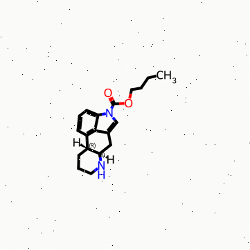 CCCCOC(=O)n1cc2c3c(cccc31)[C@H]1CCCN[C@@H]1C2